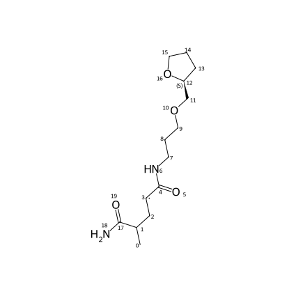 CC(C[CH]C(=O)NCCCOC[C@@H]1CCCO1)C(N)=O